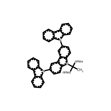 CCCCCCC(C)(CCCCCC)n1c2ccc(-n3c4ccccc4c4ccccc43)cc2c2cc(-n3c4ccccc4c4ccccc43)ccc21